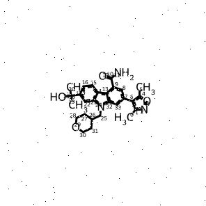 Cc1noc(C)c1-c1cc(C(N)=O)c2c3ccc(C(C)(C)O)cc3n(CC3CCOCC3)c2c1